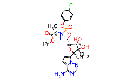 CC(C)OC(=O)[C@H](C)NP(=O)(OC[C@H]1O[C@@](C#N)(c2ccc3c(N)ncnn23)[C@](C)(O)[C@@H]1O)OC1=CCC(Cl)C=C1